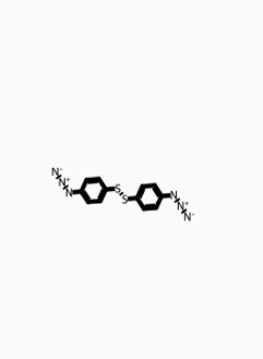 [N-]=[N+]=Nc1ccc(SSc2ccc(N=[N+]=[N-])cc2)cc1